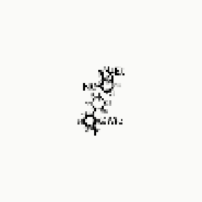 CCc1nnc2c(C#N)c(N3CCC(c4cccc(F)c4OC)CC3)ccn12